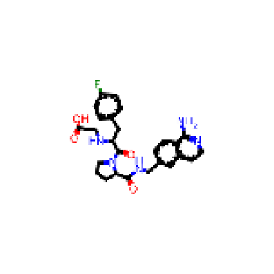 Nc1nccc2cc(CNC(=O)C3CCCN3C(=O)C(Cc3ccc(F)cc3)NCC(=O)O)ccc12